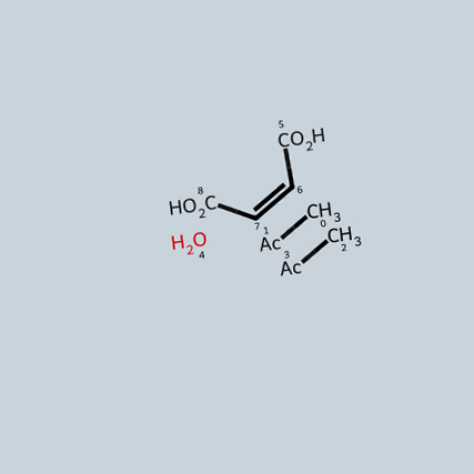 CC(C)=O.CC(C)=O.O.O=C(O)/C=C\C(=O)O